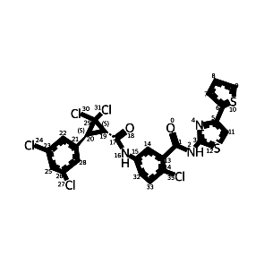 O=C(Nc1nc(-c2cccs2)cs1)c1cc(NC(=O)[C@@H]2[C@@H](c3cc(Cl)cc(Cl)c3)C2(Cl)Cl)ccc1Cl